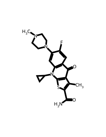 Cc1c(C(N)=O)sc2c1c(=O)c1cc(F)c(N3CCN(C)CC3)cc1n2C1CC1